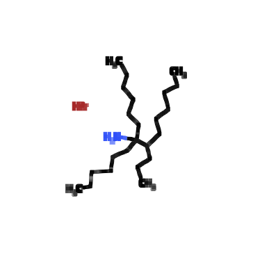 Br.CCCCCCC(CCC)C(N)(CCCCCC)CCCCCC